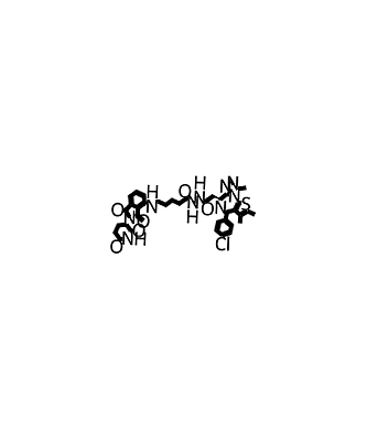 Cc1sc2c(c1C)C(c1ccc(Cl)cc1)=N[C@@H](CC(=O)NNC(=O)CCCCNc1cccc3c1C(=O)N(C1CCC(=O)NC1=O)C3=O)c1nnc(C)n1-2